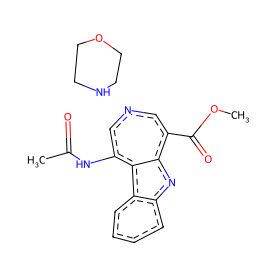 C1COCCN1.COC(=O)c1cncc(NC(C)=O)c2c3ccccc3nc1-2